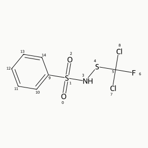 O=S(=O)(NSC(F)(Cl)Cl)c1ccccc1